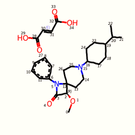 CO[C@H]1C(=O)N(c2ccccc2)C12CCN(C1CCC(C(C)C)CC1)CC2.O=C(O)/C=C/C(=O)O